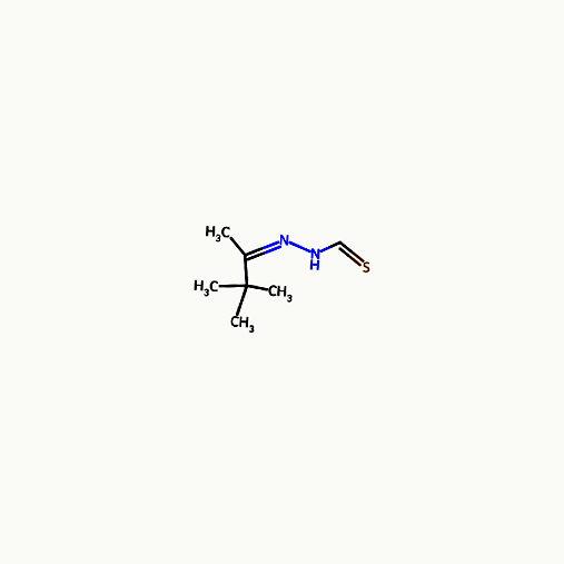 CC(=NNC=S)C(C)(C)C